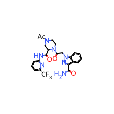 CC(=O)N1CCN(C(=O)Cn2nc(C(N)=O)c3ccccc32)C(C(=O)Nc2cccc(C(F)(F)F)n2)C1